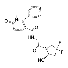 Cn1c(-c2ccccc2)c(C(=O)NCC(=O)N2CC(F)(F)C[C@H]2C#N)ccc1=O